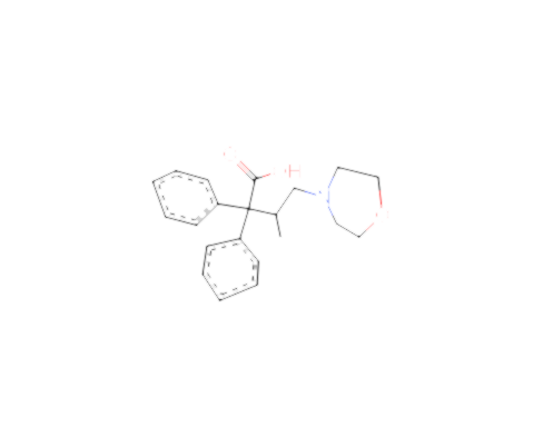 CC(CN1CCOCC1)C(C(=O)O)(c1ccccc1)c1ccccc1